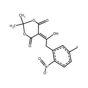 CC1(C)OC(=O)C(=C(O)Cc2cc(F)ccc2[N+](=O)[O-])C(=O)O1